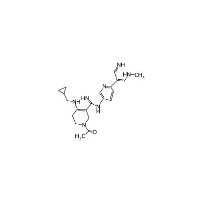 CN/C=C(\C=N)c1ccc(NC(=N)C2=C(NCC3CC3)CCN(C(C)=O)C2)cn1